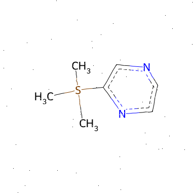 CS(C)(C)c1cnccn1